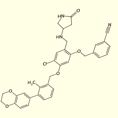 Cc1c(COc2cc(OCc3cccc(C#N)c3)c(CNC3CNC(=O)C3)cc2Cl)cccc1-c1ccc2c(c1)OCCO2